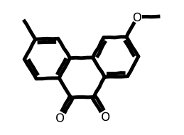 COc1ccc2c(c1)-c1cc(C)ccc1C(=O)C2=O